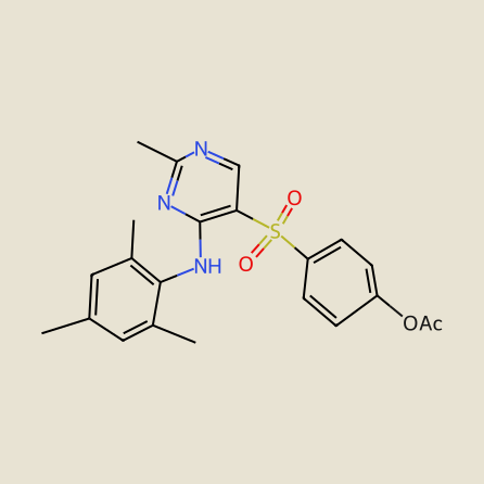 CC(=O)Oc1ccc(S(=O)(=O)c2cnc(C)nc2Nc2c(C)cc(C)cc2C)cc1